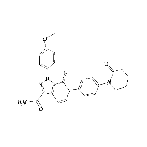 COc1ccc(-n2nc(C(N)=O)c3ccn(-c4ccc(N5CCCCC5=O)cc4)c(=O)c32)cc1